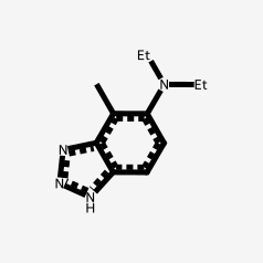 CCN(CC)c1ccc2[nH]nnc2c1C